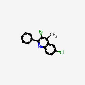 FC(F)(F)c1c(Br)c(-c2ccccc2)nc2ccc(Cl)cc12